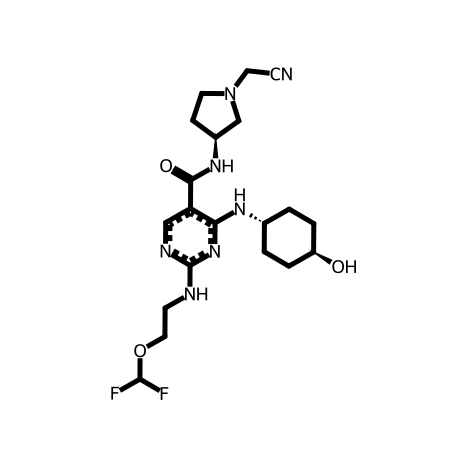 N#CCN1CC[C@H](NC(=O)c2cnc(NCCOC(F)F)nc2N[C@H]2CC[C@H](O)CC2)C1